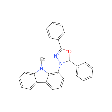 CCn1c2ccccc2c2cccc(N3N=C(c4ccccc4)OC3c3ccccc3)c21